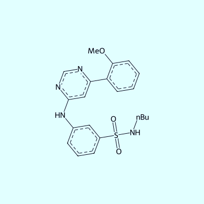 CCCCNS(=O)(=O)c1cccc(Nc2cc(-c3ccccc3OC)ncn2)c1